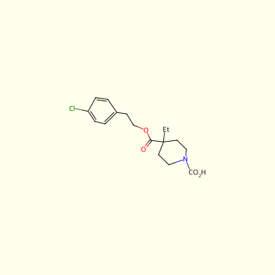 CCC1(C(=O)OCCc2ccc(Cl)cc2)CCN(C(=O)O)CC1